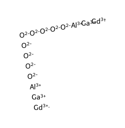 [Al+3].[Al+3].[Ga+3].[Ga+3].[Gd+3].[Gd+3].[O-2].[O-2].[O-2].[O-2].[O-2].[O-2].[O-2].[O-2].[O-2]